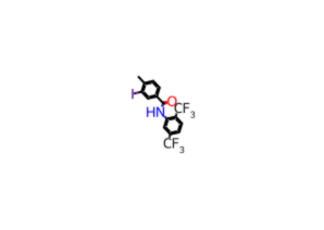 Cc1ccc(C(=O)Nc2cc(C(F)(F)F)ccc2C(F)(F)F)cc1I